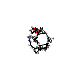 O=[P@]1(S)OCC2O[C@@H]3[C@H](F)[C@@H]2O[P@](=O)(S)OCC2O[C@H]([C@H](F)[C@@H]2O1)n1cnc2c(ncnc21)CC/C=C/CCc1ncnc2c1ncn23